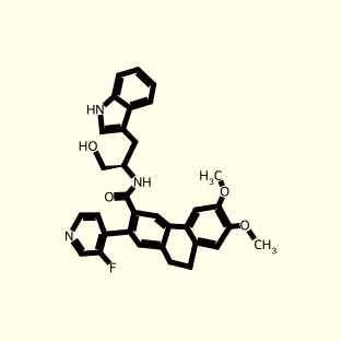 COc1cc2c(cc1OC)-c1cc(C(=O)N[C@@H](CO)Cc3c[nH]c4ccccc34)c(-c3ccncc3F)cc1CC2